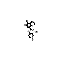 CCN1CC[C@@H](NC(=O)c2cc(Cl)c(N)c3c2OCCC3)[C@@H](OC)C1